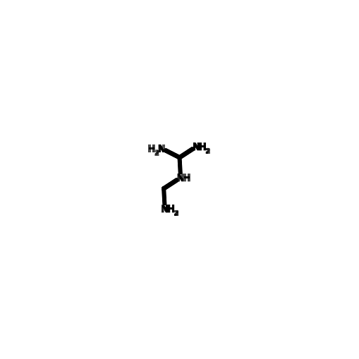 NCNC(N)N